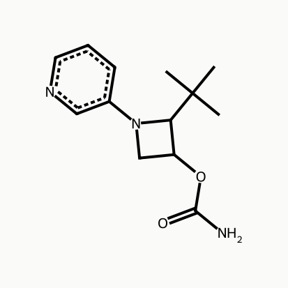 CC(C)(C)C1C(OC(N)=O)CN1c1cccnc1